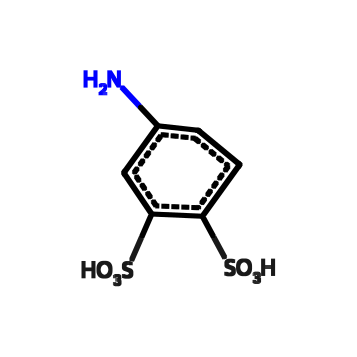 Nc1ccc(S(=O)(=O)O)c(S(=O)(=O)O)c1